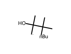 [CH2]C(C)(O)C(C)(C)CCCC